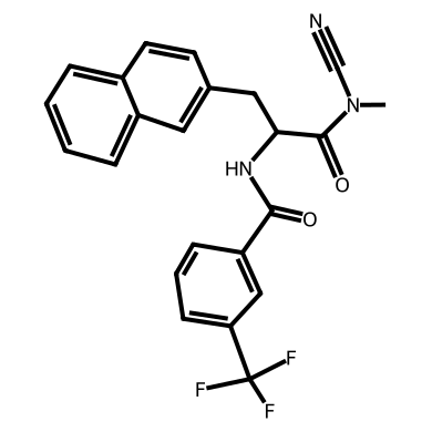 CN(C#N)C(=O)C(Cc1ccc2ccccc2c1)NC(=O)c1cccc(C(F)(F)F)c1